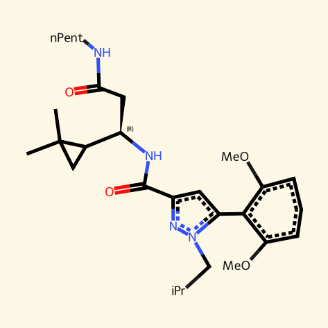 CCCCCNC(=O)C[C@@H](NC(=O)c1cc(-c2c(OC)cccc2OC)n(CC(C)C)n1)C1CC1(C)C